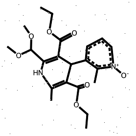 CCOC(=O)C1=C(C)NC(C(OC)OC)=C(C(=O)OCC)C1c1ccc[n+]([O-])c1C